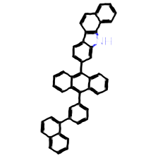 c1cc(-c2cccc3ccccc23)cc(-c2c3ccccc3c(-c3ccc4c(c3)[nH]c3c5ccccc5ccc43)c3ccccc23)c1